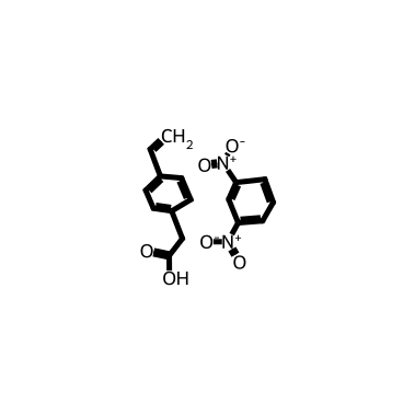 C=Cc1ccc(CC(=O)O)cc1.O=[N+]([O-])c1cccc([N+](=O)[O-])c1